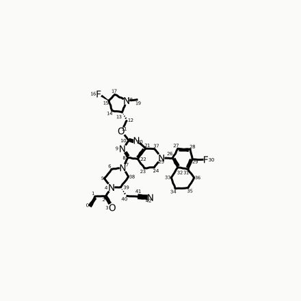 C=CC(=O)N1CCN(c2nc(OC[C@@H]3C[C@@H](F)CN3C)nc3c2CCN(c2ccc(F)c4c2CCCC4)C3)C[C@@H]1CC#N